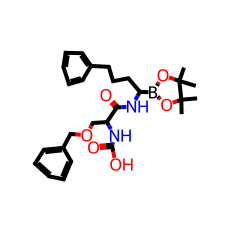 CC1(C)OB(C(CCCc2ccccc2)NC(=O)C(COCc2ccccc2)NC(=O)O)OC1(C)C